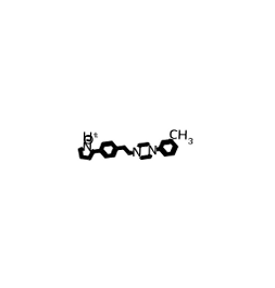 Cc1cccc(N2CCN(CCc3ccc(C4CCC[NH+]4[O-])cc3)CC2)c1